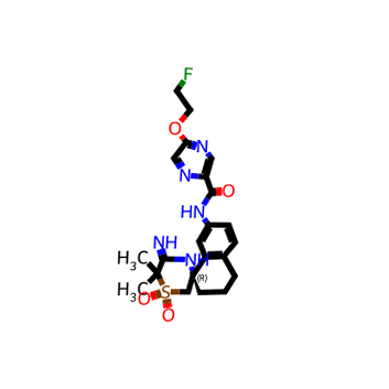 CC1(C)C(=N)N[C@@]2(CCCc3ccc(NC(=O)c4cnc(OCCF)cn4)cc32)CS1(=O)=O